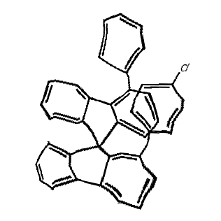 Clc1ccc(-c2cccc3c2C2(c4ccccc4-3)c3ccccc3-c3c(-c4ccccc4)cccc32)cc1